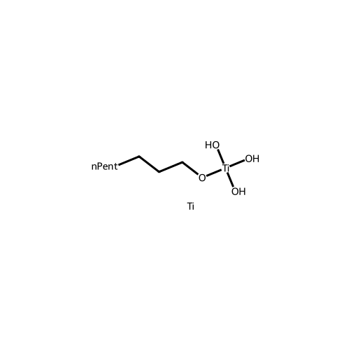 CCCCCCCC[O][Ti]([OH])([OH])[OH].[Ti]